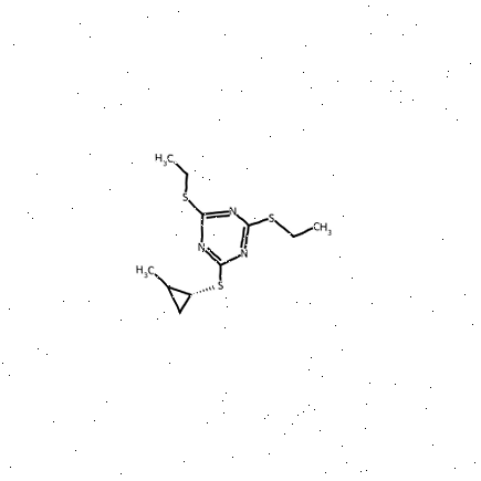 CCSc1nc(SCC)nc(S[C@@H]2CC2C)n1